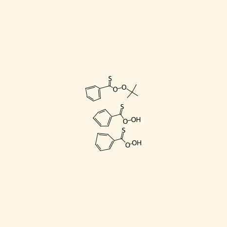 CC(C)(C)OOC(=S)c1ccccc1.OOC(=S)c1ccccc1.OOC(=S)c1ccccc1